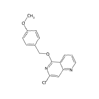 COc1ccc(COc2nc(Cl)cc3ncccc23)cc1